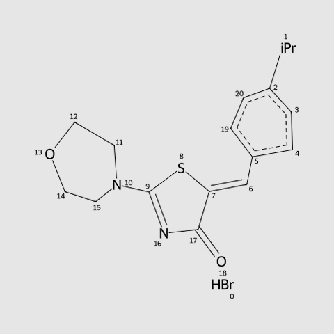 Br.CC(C)c1ccc(/C=C2\SC(N3CCOCC3)=NC2=O)cc1